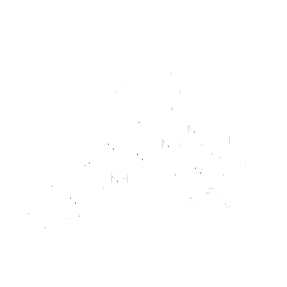 CC(C)(C)C1c2nc(-c3ccc(Cl)c(Cl)c3)n(-c3ccnc(NC4CCCN(C(=O)C5CC5)C4)n3)c2CN1C(=O)O